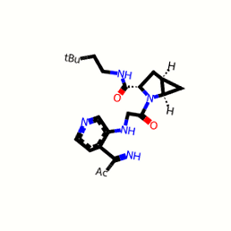 CC(=O)C(=N)c1ccncc1NCC(=O)N1[C@@H]2C[C@@H]2C[C@H]1C(=O)NCCC(C)(C)C